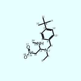 CCN(Cc1ccc(C(C)(C)C)cc1)C(C[N+](=O)[O-])NC